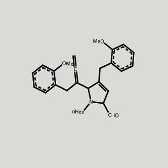 C=C=C(Cc1ccccc1OC)C1C(Cc2ccccc2OC)=CC(C=O)N1CCCCCC